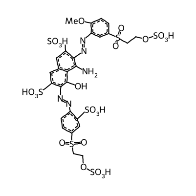 COc1ccc(S(=O)(=O)CCOS(=O)(=O)O)cc1/N=N/c1c(S(=O)(=O)O)cc2cc(S(=O)(=O)O)c(/N=N/c3ccc(S(=O)(=O)CCOS(=O)(=O)O)cc3S(=O)(=O)O)c(O)c2c1N